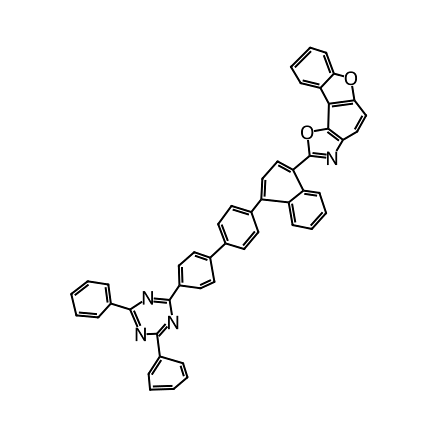 c1ccc(-c2nc(-c3ccccc3)nc(-c3ccc(-c4ccc(-c5ccc(-c6nc7ccc8oc9ccccc9c8c7o6)c6ccccc56)cc4)cc3)n2)cc1